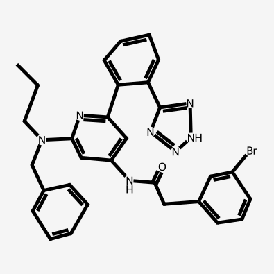 CCCN(Cc1ccccc1)c1cc(NC(=O)Cc2cccc(Br)c2)cc(-c2ccccc2-c2nn[nH]n2)n1